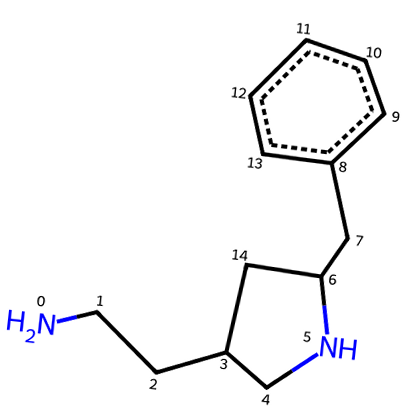 NCCC1CNC(Cc2ccccc2)C1